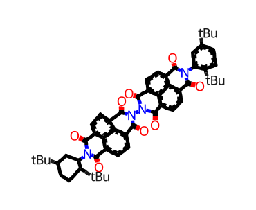 CC(C)(C)c1ccc(C(C)(C)C)c(N2C(=O)c3ccc4c5c(ccc(c35)C2=O)C(=O)N(N2C(=O)c3ccc5c6c(ccc(c36)C2=O)C(=O)N(C2CC(C(C)(C)C)CCC2C(C)(C)C)C5=O)C4=O)c1